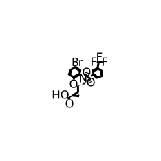 O=C(O)[C@@H]1C[C@H]1[C@H]1CN(S(=O)(=O)c2cccc(C(F)(F)F)c2)c2cc(Br)ccc2O1